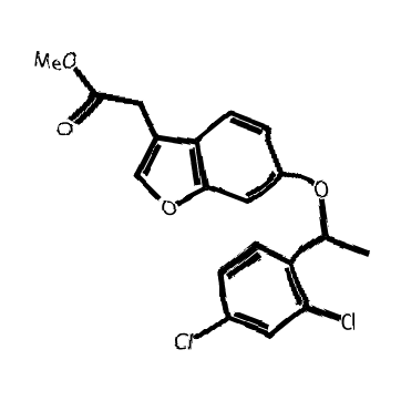 COC(=O)Cc1coc2cc(OC(C)c3ccc(Cl)cc3Cl)ccc12